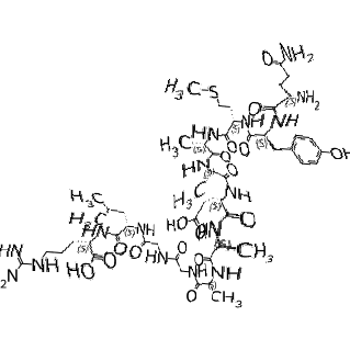 CSCC[C@H](NC(=O)[C@H](Cc1ccc(O)cc1)NC(=O)[C@@H](N)CCC(N)=O)C(=O)N[C@@H](C)C(=O)N[C@@H](C)C(=O)N[C@@H](CC(=O)O)C(=O)N[C@@H](C)C(=O)N[C@@H](C)C(=O)NCC(=O)NCC(=O)N[C@@H](CC(C)C)C(=O)N[C@@H](CCCNC(=N)N)C(=O)O